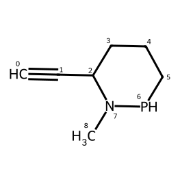 C#CC1CCCPN1C